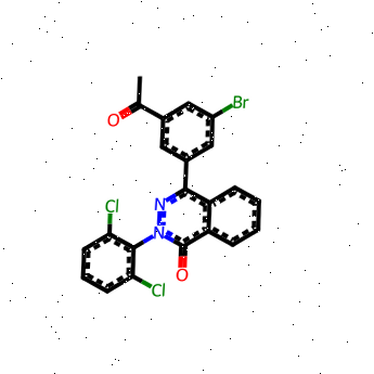 CC(=O)c1cc(Br)cc(-c2nn(-c3c(Cl)cccc3Cl)c(=O)c3ccccc23)c1